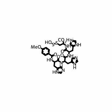 COc1ccc(C(=O)NC(Cc2cnc[nH]2)C(=O)NC(Cc2cnc[nH]2)C(=O)NC(Cc2cnc[nH]2)C(=O)NC(CSSO)C(=O)O)cc1